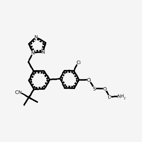 [C-]#[N+]C(C)(C)c1cc(Cn2cncn2)cc(-c2ccc(OSOON)c(Cl)c2)c1